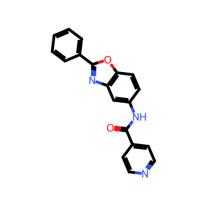 O=C(Nc1ccc2oc(-c3ccccc3)nc2c1)c1ccncc1